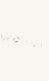 C=CCOCCOc1ccc(CC(C)(O)C=O)cc1